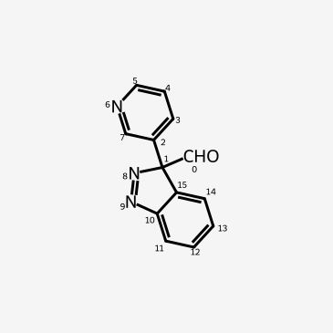 O=CC1(c2cccnc2)N=Nc2ccccc21